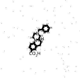 O=C(O)c1ccc2c(c1)CC[C@@H]1CN(Cc3ccccc3)CCN21